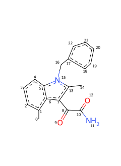 Cc1cccc2c1c(C(=O)C(N)=O)c(C)n2Cc1ccccc1